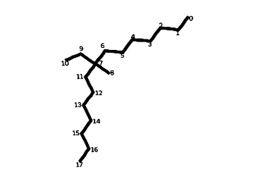 CCCCCCCC(C)(CC)CCCCCCC